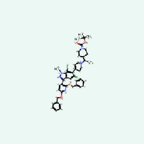 CC(C1CCN(C(=O)OC(C)(C)C)CC1)N1CC=C(c2c(F)cc3c(-c4ccc(OCc5ccccc5)nc4OCc4ccccc4)nn(C)c3c2F)CC1